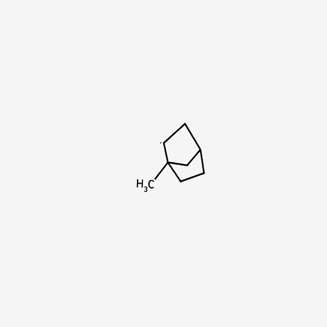 CC12[CH]CC(CC1)C2